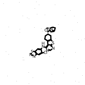 CN1CC2CC1N2C(=O)[C@H]1CCc2c(sc3ncnc(Nc4cc5snnc5cc4Cl)c23)C1